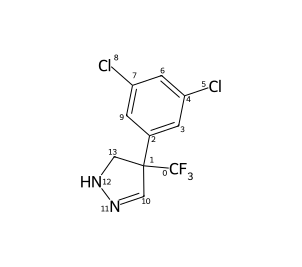 FC(F)(F)C1(c2cc(Cl)cc(Cl)c2)C=NNC1